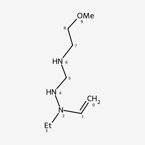 C=CN(CC)NCNCCOC